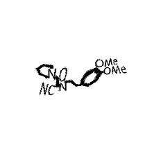 COc1ccc(C=Cc2nc(C#N)c(N3CCCCC3)o2)cc1OC